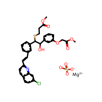 COC(=O)CCSC(c1cccc(C=Cc2ccc3ccc(Cl)cc3n2)c1)C(O)c1cccc(OCC(=O)OC)c1.O=S(=O)([O-])[O-].[Mg+2]